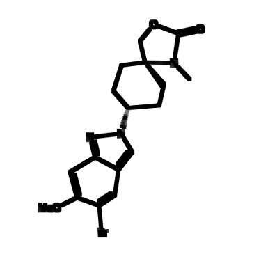 COc1cc2nn([C@H]3CC[C@@]4(CC3)COC(=O)N4C)cc2cc1Br